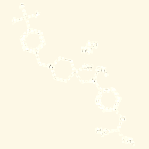 CC(C)Oc1ccc(N(C)CC2(O)CCN(Cc3ccc(C(F)(F)F)cc3)CC2)cc1.Cl.Cl